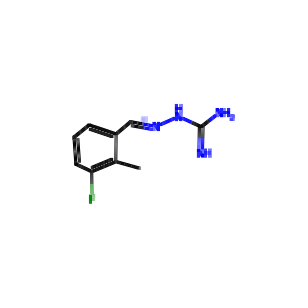 Cc1c(F)cccc1/C=N/NC(=N)N